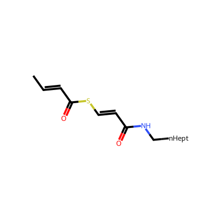 CC=CC(=O)SC=CC(=O)NCCCCCCCC